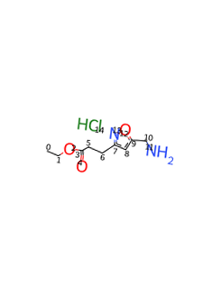 CCOC(=O)CCc1cc(CN)on1.Cl